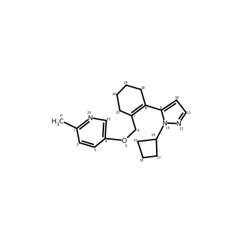 Cc1ccc(OCC2=C(c3ccnn3C3CCC3)CCCC2)cn1